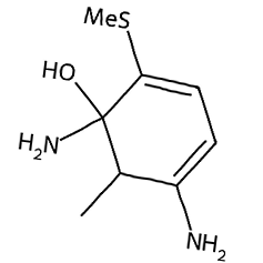 CSC1=CC=C(N)C(C)C1(N)O